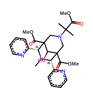 COC(=O)C12CN(C(C)(C)C(=O)OC)CC(C(=O)OC)(C1O)[C@@H](c1ccccn1)N(C)[C@H]2c1ccccn1